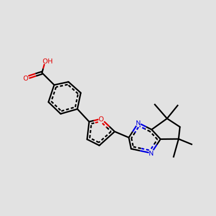 CC1(C)CC(C)(C)c2nc(-c3ccc(-c4ccc(C(=O)O)cc4)o3)cnc21